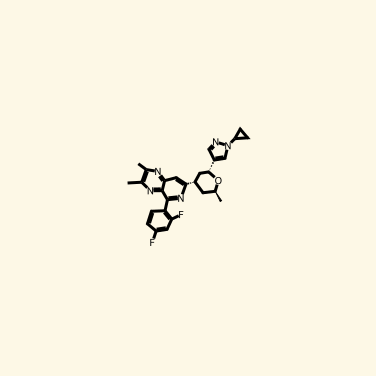 Cc1nc2cc([C@H]3C[C@H](C)O[C@@H](c4cnn(C5CC5)c4)C3)nc(-c3ccc(F)cc3F)c2nc1C